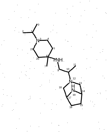 CC(C)N1CCC(C)(NCC(C)N2CC3CCC(C2)N3)CC1